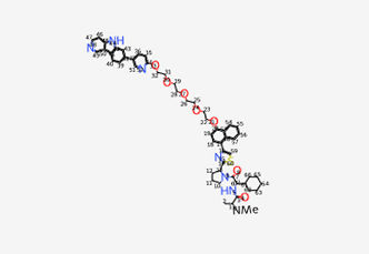 CNC(C)C(=O)N[C@H](C(=O)N1CCCC1c1nc(-c2ccc(OCCOCCOCCOCCOc3ccc(-c4ccc5c(c4)[nH]c4ccncc45)cn3)c3ccccc23)cs1)C1CCCCC1